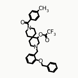 Cc1ccc(C(=O)N2CCC3(CCN(Cc4ccccc4OCc4ccccc4)CC3OC(=O)C(F)(F)F)CC2)cc1